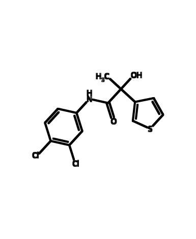 CC(O)(C(=O)Nc1ccc(Cl)c(Cl)c1)c1ccsc1